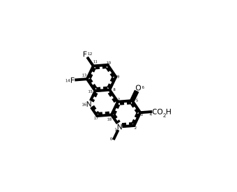 Cn1cc(C(=O)O)c(=O)c2c3ccc(F)c(F)c3ncc21